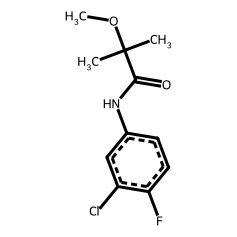 COC(C)(C)C(=O)Nc1ccc(F)c(Cl)c1